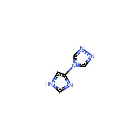 [c]1nc(-n2cnnc2)c[nH]1